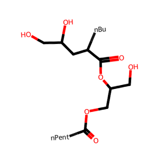 CCCCCC(=O)OCC(CO)OC(=O)C(CCCC)CC(O)CO